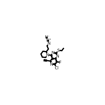 C#Cc1nc(Cl)c(F)c2nc(SCC)nc(N3CCCCC3CCN=[N+]=[N-])c12